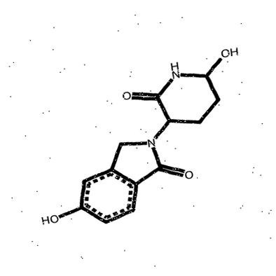 O=C1NC(O)CCC1N1Cc2cc(O)ccc2C1=O